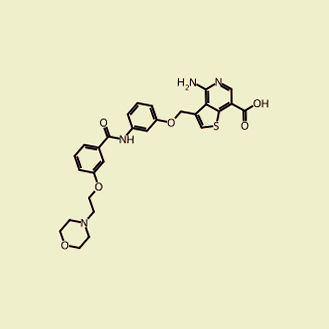 Nc1ncc(C(=O)O)c2scc(COc3cccc(NC(=O)c4cccc(OCCN5CCOCC5)c4)c3)c12